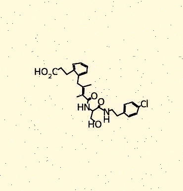 C/C(Cc1ccccc1CCC(=O)O)=C(/C)C(=O)NC(CO)C(=O)NCCc1ccc(Cl)cc1